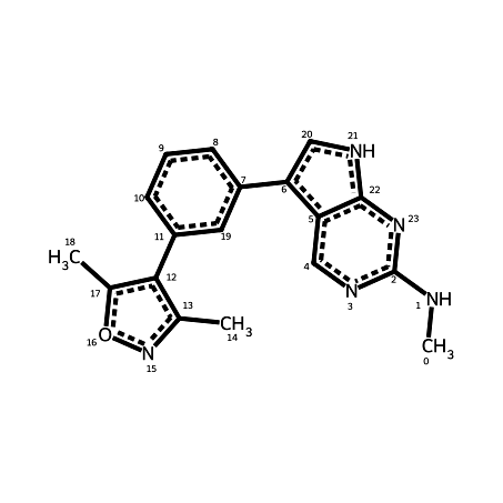 CNc1ncc2c(-c3cccc(-c4c(C)noc4C)c3)c[nH]c2n1